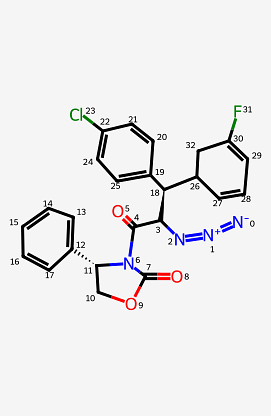 [N-]=[N+]=NC(C(=O)N1C(=O)OC[C@@H]1c1ccccc1)[C@@H](c1ccc(Cl)cc1)C1C=CC=C(F)C1